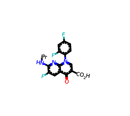 CC(C)Nc1nc2c(cc1F)c(=O)c(C(=O)O)cn2-c1ccc(F)cc1F